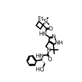 CC[Si](C)(C)C1(C(=O)Nc2n[nH]c3c2CN(C(=O)N[C@H](CO)c2ccccc2)C3(C)C)CCC1